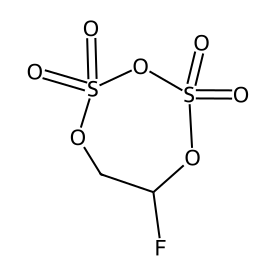 O=S1(=O)OCC(F)OS(=O)(=O)O1